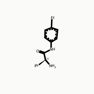 CCc1ccc(NC(=O)[C@@H](N)C(C)C)cc1